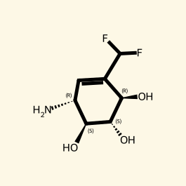 N[C@@H]1C=C(C(F)F)[C@@H](O)[C@H](O)[C@H]1O